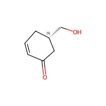 O=C1C=CC[C@H](CO)C1